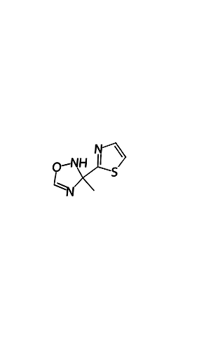 CC1(c2nccs2)N=CON1